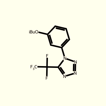 CC(C)COc1cccc(-n2nnnc2C(F)(F)C(F)(F)F)c1